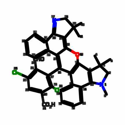 CN1CC(C)(C)c2c3c(c4ccccc4c21)C(c1c(Cl)c(C(=O)O)cc(Cl)c1C=O)=c1c(c2c(c4ccccc14)=NCC2(C)C)O3